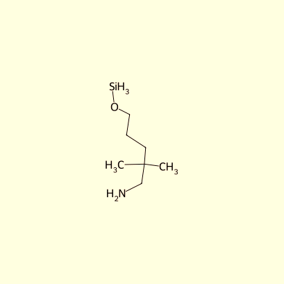 CC(C)(CN)CCCO[SiH3]